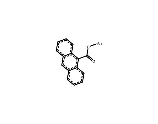 CCCCOC(=O)c1c2ccccc2cc2ccccc12